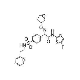 O=C(Nc1ncc(F)s1)/C(=N/O[C@@H]1CCOC1)c1ccc(S(=O)(=O)NCCc2ccccn2)cc1